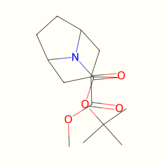 COC(=O)C1(C)CC2CCC(C1)N2C(=O)OC(C)(C)C